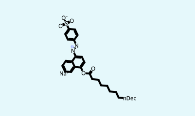 CCCCCCCCCCCCCCCCCC(=O)Oc1ccc(/N=N/c2ccc(S(=O)(=O)[O-])cc2)c2ccccc12.[Na+]